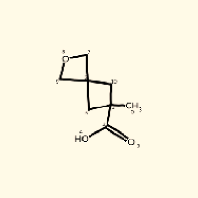 CC1(C(=O)O)CC2(COC2)C1